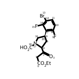 CCOC(=O)CC(=O)C1C[C@H](c2c(F)ccc(Br)c2F)CN1C(=O)O